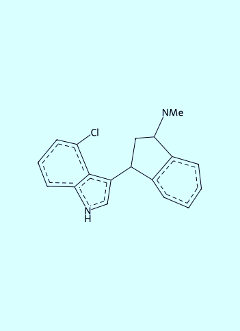 CNC1CC(c2c[nH]c3cccc(Cl)c23)c2ccccc21